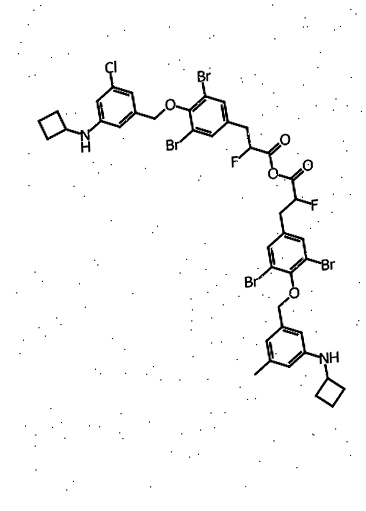 Cc1cc(COc2c(Br)cc(CC(F)C(=O)OC(=O)C(F)Cc3cc(Br)c(OCc4cc(Cl)cc(NC5CCC5)c4)c(Br)c3)cc2Br)cc(NC2CCC2)c1